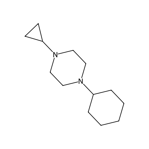 C1CCC(N2CCN(C3CC3)CC2)CC1